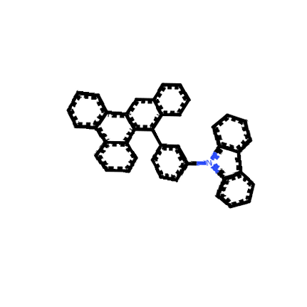 c1cc(-c2c3ccccc3cc3c4ccccc4c4ccccc4c23)cc(-n2c3ccccc3c3ccccc32)c1